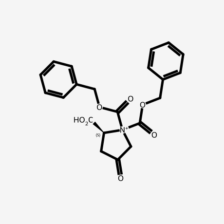 O=C1C[C@@H](C(=O)O)[N+](C(=O)OCc2ccccc2)(C(=O)OCc2ccccc2)C1